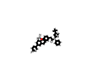 CC(C)(C)c1cc(N(C(=O)Cc2ccc(C3NN=C4C=C(c5ccc(F)nc5)C=C5C=CC=CC543)cc2)c2ccccc2)no1